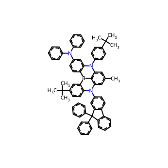 Cc1cc2c3c(c1)N(c1ccc(C(C)(C)C)cc1)c1cc(N(c4ccccc4)c4ccccc4)ccc1B3c1cc(C(C)(C)C)ccc1N2c1ccc2c(c1)C(c1ccccc1)(c1ccccc1)c1ccccc1-2